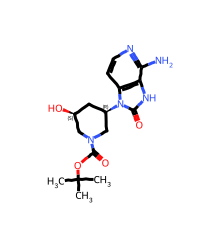 CC(C)(C)OC(=O)N1C[C@@H](O)C[C@@H](n2c(=O)[nH]c3c(N)nccc32)C1